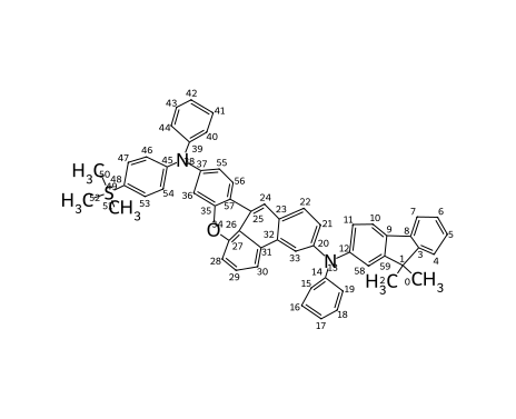 CC1(C)c2ccccc2-c2ccc(N(c3ccccc3)c3ccc4cc5c6c(cccc6c4c3)Oc3cc(N(c4ccccc4)c4ccc(S(C)(C)C)cc4)ccc3-5)cc21